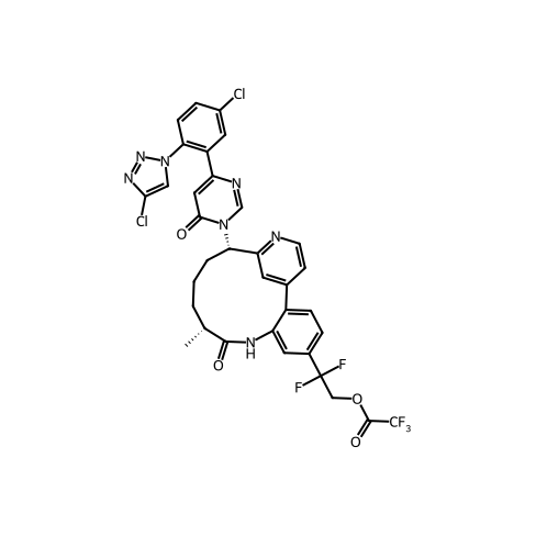 C[C@@H]1CCC[C@H](n2cnc(-c3cc(Cl)ccc3-n3cc(Cl)nn3)cc2=O)c2cc(ccn2)-c2ccc(C(F)(F)COC(=O)C(F)(F)F)cc2NC1=O